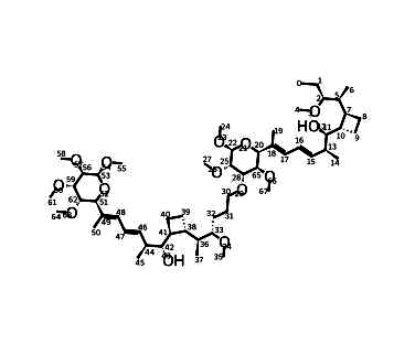 CC[C@H](OC)[C@@H](C)[C@H]1CC[C@@H]1[C@H](O)[C@@H](C)/C=C/C=C(\C)[C@@H]1O[C@H](OC)[C@@H](OC)[C@@H](OCCC[C@H](OC)[C@@H](C)[C@H]2CC[C@@H]2[C@H](O)[C@@H](C)/C=C/C=C(\C)[C@@H]2O[C@H](OC)[C@H](OC)[C@@H](OC)[C@H]2OC)[C@@H]1OC